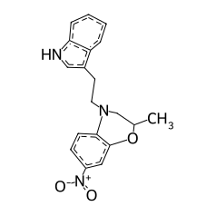 CC1CN(CCc2c[nH]c3ccccc23)c2ccc([N+](=O)[O-])cc2O1